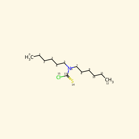 CCCCCCN(CCCCCC)C(=S)Cl